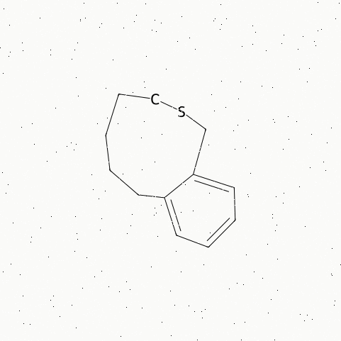 c1ccc2c(c1)CCCCCSC2